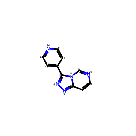 c1cc(-c2nnc3ccncn23)ccn1